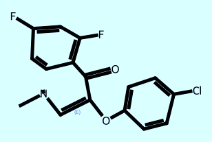 CN(C)/C=C(/Oc1ccc(Cl)cc1)C(=O)c1ccc(F)cc1F